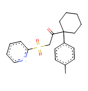 O=C(CS(=O)(=O)c1ccccn1)C1(c2ccc(Cl)cc2)CCCCC1